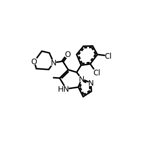 CC1=C(C(=O)N2CCOCC2)C(c2cccc(Cl)c2Cl)n2nccc2N1